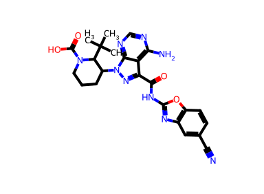 CC(C)(C)C1C(n2nc(C(=O)Nc3nc4cc(C#N)ccc4o3)c3c(N)ncnc32)CCCN1C(=O)O